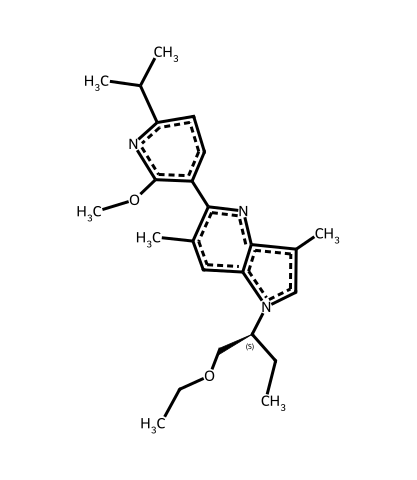 CCOC[C@H](CC)n1cc(C)c2nc(-c3ccc(C(C)C)nc3OC)c(C)cc21